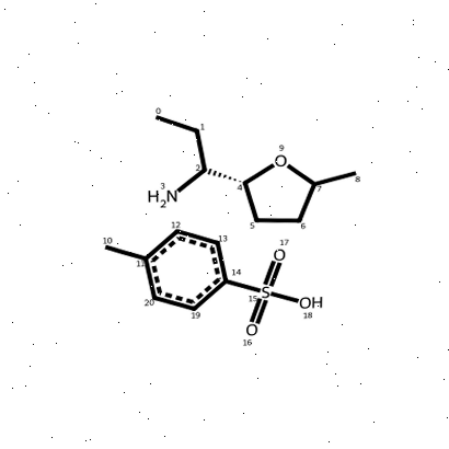 CCC(N)[C@H]1CCC(C)O1.Cc1ccc(S(=O)(=O)O)cc1